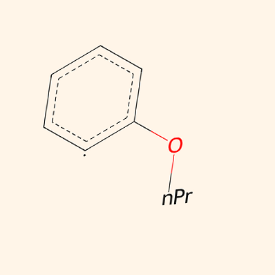 C[CH]COc1[c]cccc1